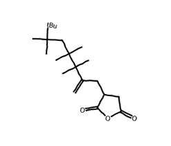 C=C(CC1CC(=O)OC1=O)C(C)(C)C(C)(C)CC(C)(C)C(C)(C)C